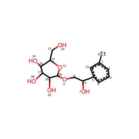 CCc1cccc(C(O)COC2OC(CO)C(O)C(O)C2O)c1